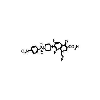 O=C(O)c1cn(CCF)c2c(F)c(N3CCN(S(=O)(=O)c4ccc([N+](=O)[O-])cc4)CC3)c(F)cc2c1=O